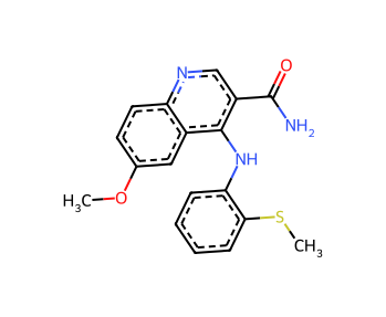 COc1ccc2ncc(C(N)=O)c(Nc3ccccc3SC)c2c1